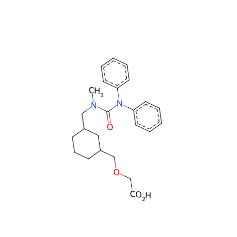 CN(CC1CCCC(COCC(=O)O)C1)C(=O)N(c1ccccc1)c1ccccc1